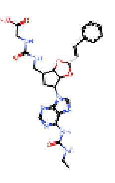 CCNC(=O)Nc1ncnc2c1ncn2C1CC(CNC(=O)NCC(=O)O)C2O[C@H](/C=C/c3ccccc3)OC21